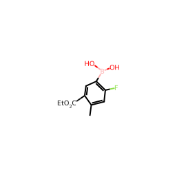 CCOC(=O)c1cc(B(O)O)c(F)cc1C